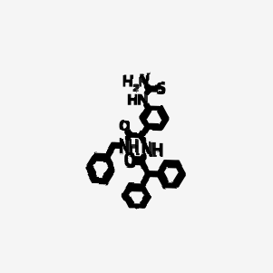 NC(=S)Nc1cccc(C(NC(=O)C(c2ccccc2)c2ccccc2)C(=O)NCc2ccccc2)c1